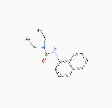 CC(C)CN(CC(C)C)C(=O)Nc1cccc2ccccc12